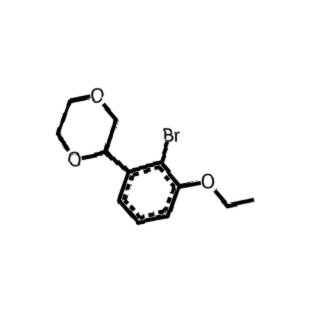 CCOc1cccc(C2COCCO2)c1Br